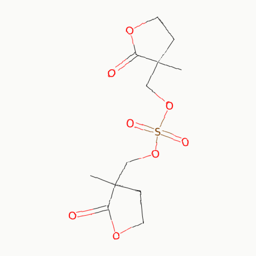 CC1(COS(=O)(=O)OCC2(C)CCOC2=O)CCOC1=O